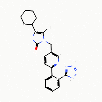 CCCCc1c(C2CCCCC2)[nH]c(=O)n1Cc1ccc(-c2ccccc2-c2nnn[nH]2)nc1